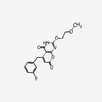 COCCOc1nc2oc(=O)cc(Cc3cccc(F)c3)c2c(=O)[nH]1